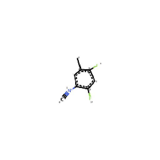 [C-]#[N+]c1cc(C)c(F)cc1F